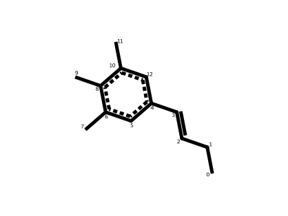 CCC=Cc1cc(C)c(C)c(C)c1